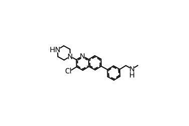 CNCc1cccc(-c2ccc3nc(N4CCNCC4)c(Cl)cc3c2)c1